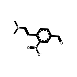 CN(C)C=Cc1ccc(C=O)cc1[N+](=O)[O-]